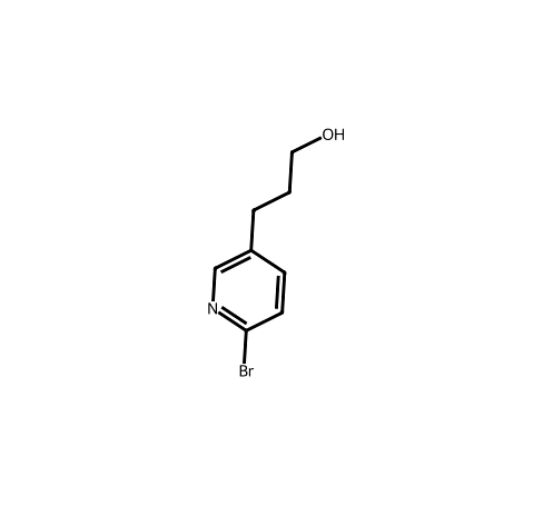 OCCCc1ccc(Br)nc1